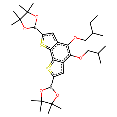 CCC(C)COc1c(OCC(C)C)c2cc(B3OC(C)(C)C(C)(C)O3)sc2c2sc(B3OC(C)(C)C(C)(C)O3)cc12